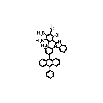 Bc1c(B)c(B)c(-c2nc3ccccc3n2-c2cccc(-c3c4ccccc4c(-c4ccccc4)c4ccccc34)c2)c(B)c1B